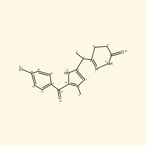 Cc1cc(C(C)C2=NNC(=O)CC2)[nH]c1C(=O)c1ccc(Cl)cc1